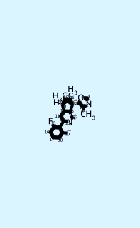 Cc1ncoc1[C@]12CC[C@H](c3cc(-c4c(F)cccc4F)nnc31)C2(C)C